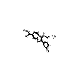 COC(=O)c1ccn2c(NCC(=O)O)c(C3CCC(Cl)O3)nc2c1